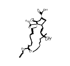 CCCCCC(C)(O)C=CC1C[C@@H](C(=O)O)C(=O)[C@]1(CC=CCCCC(=O)OCC)C(=O)O